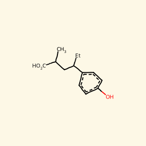 CCC(CC(C)C(=O)O)c1ccc(O)cc1